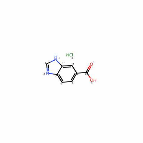 Cl.O=C(O)c1ccc2nc[nH]c2c1